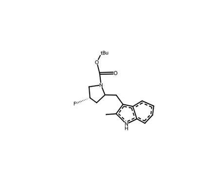 Cc1[nH]c2ccccc2c1CC1C[C@H](F)CN1C(=O)OC(C)(C)C